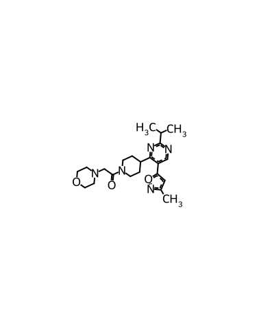 Cc1cc(-c2cnc(C(C)C)nc2C2CCN(C(=O)CN3CCOCC3)CC2)on1